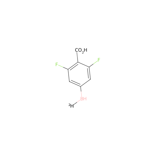 [2H]Bc1cc(F)c(C(=O)O)c(F)c1